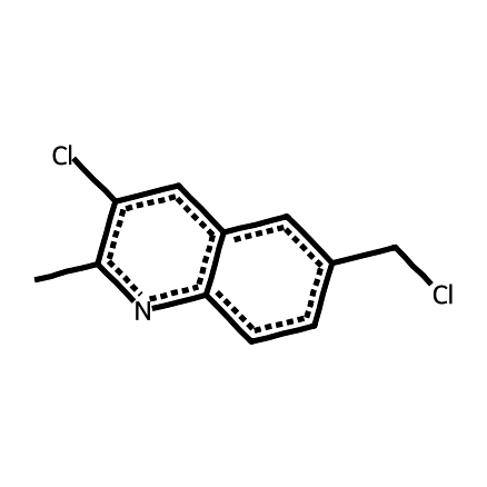 Cc1nc2ccc(CCl)cc2cc1Cl